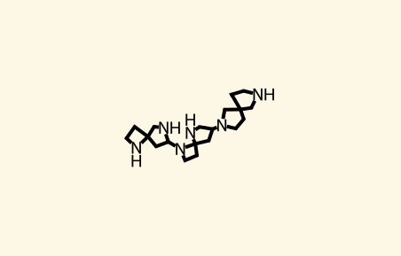 C1CC2(CCN(C3CNC4(CCN4C4CC5(CCN5)CN4)C3)C2)CN1